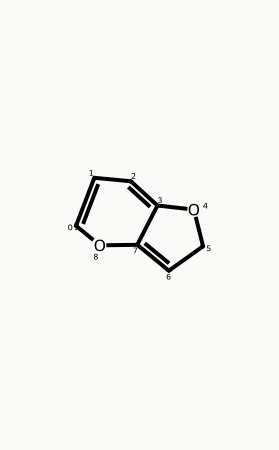 [C]1=CC=C2OCC=C2O1